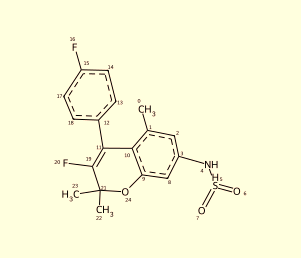 Cc1cc(N[SH](=O)=O)cc2c1C(c1ccc(F)cc1)=C(F)C(C)(C)O2